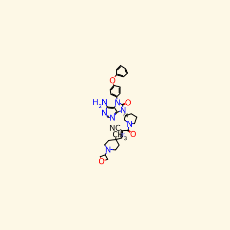 CC1(/C=C(\C#N)C(=O)N2CCC[C@@H](n3c(=O)n(-c4ccc(Oc5ccccc5)cc4)c4c(N)ncnc43)C2)CCN(C2COC2)CC1